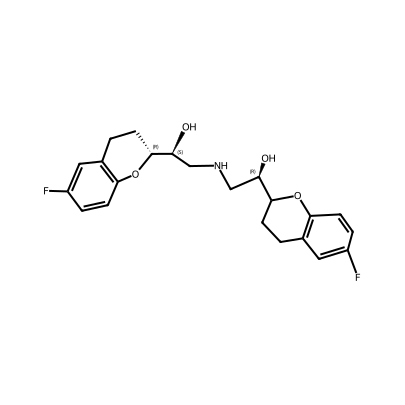 O[C@H](CNC[C@H](O)[C@H]1CCc2cc(F)ccc2O1)C1CCc2cc(F)ccc2O1